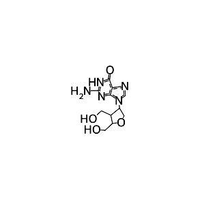 Nc1nc2c(ncn2C2COC(CO)C2CO)c(=O)[nH]1